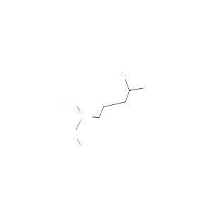 CC(N)CC[CH2][Sn+]([CH3])[O]C(C)C.[Cl-]